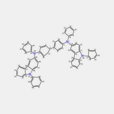 C1=CC(c2ccc(N(c3ccccc3)c3ccc4c(c3)c3ccccc3n4-c3ccccc3)cc2)CC=C1N(c1ccccc1)c1ccc2c(c1)c1ccccc1n2-c1ccccc1